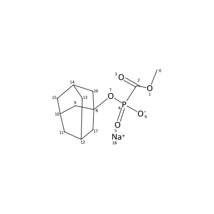 COC(=O)P(=O)([O-])OC12CC3CC(CC(C3)C1)C2.[Na+]